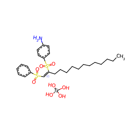 CCCCCCCCCCCC/C(=C/S(=O)(=O)c1ccccc1)S(=O)(=O)c1ccc(N)cc1.[OH][Ti]([OH])([OH])[OH]